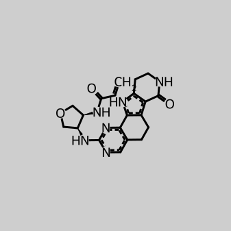 C=CC(=O)N[C@@H]1COC[C@@H]1Nc1ncc2c(n1)-c1[nH]c3c(c1CC2)C(=O)NCC3